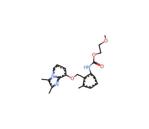 COCCOC(=O)Nc1cccc(C)c1COc1cccn2c(C)c(C)nc12